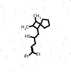 CC/C(=C\CC(S)CC1C(C)C(C)C12CCCC2)C(C)C